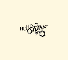 O=C1O[C@@H]2C(CC[C@H]2O)N1S(=O)(=O)c1ccccc1[N+](=O)[O-]